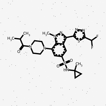 CC(C)C(=O)N1CCN(c2cc(S(=O)(=O)NC3(C)CC3)cc3c(-c4nnc(C(F)F)s4)nn(C)c23)CC1